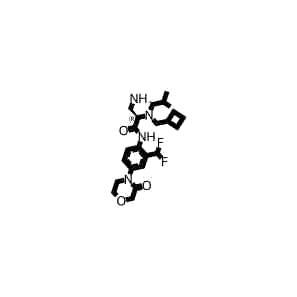 CC(C)CN(CC1CCC1)[C@H](CN)C(=O)Nc1ccc(N2CCOCC2=O)cc1C(F)F